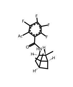 CC(=O)c1c(F)c(F)c(F)c(F)c1C(=O)N[C@@H]1C[C@@H]2C[C@H]([C@H]1C)C2(C)C